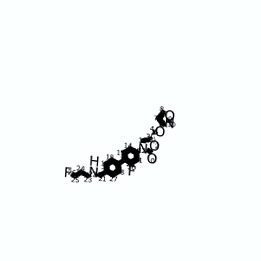 O=C1O[C@@H](COc2ccon2)CN1c1ccc(-c2ccc(CNCCCF)cc2)c(F)c1